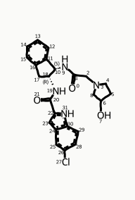 O=C(CN1CCC(O)C1)N[C@H]1c2ccccc2C[C@H]1NC(=O)c1cc2cc(Cl)ccc2[nH]1